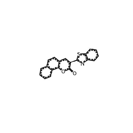 O=c1oc2c(ccc3ccccc32)cc1-c1nc2ccccc2s1